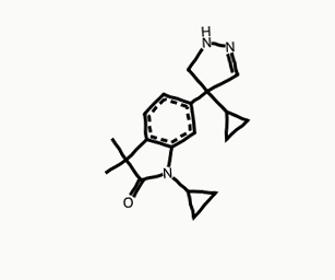 CC1(C)C(=O)N(C2CC2)c2cc(C3(C4CC4)C=NNC3)ccc21